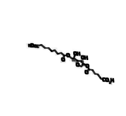 CCCCCCCCCCCCCCCCCC(=O)OC[C@@H](O)[C@H]1OC[C@H](OC(=O)CCCCC(=O)O)[C@H]1O